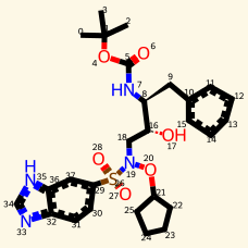 CC(C)(C)OC(=O)N[C@@H](Cc1ccccc1)[C@H](O)CN(OC1CCCC1)S(=O)(=O)c1ccc2nc[nH]c2c1